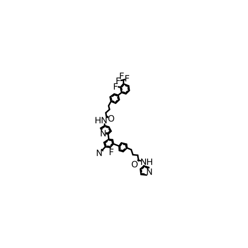 N#Cc1cc(-c2ccc(NC(=O)CCCc3ccc(-c4cccc(C(F)(F)F)c4F)cc3)cn2)cc(-c2ccc(CCCC(=O)Nc3cccnc3)cc2)c1F